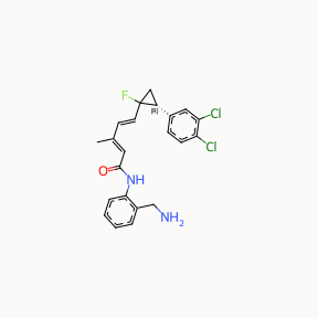 CC(C=CC1(F)C[C@@H]1c1ccc(Cl)c(Cl)c1)=CC(=O)Nc1ccccc1CN